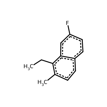 CCc1c(C)ccc2ccc(F)cc12